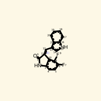 O=C1Nc2ccc(F)c(F)c2/C1=C\c1c[nH]c2ccccc12